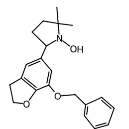 CC1(C)CCC(c2cc3c(c(OCc4ccccc4)c2)OCC3)N1O